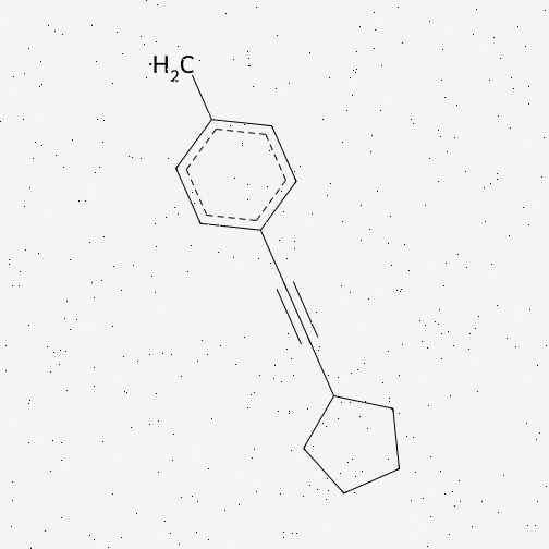 [CH2]c1ccc(C#CC2CCCC2)cc1